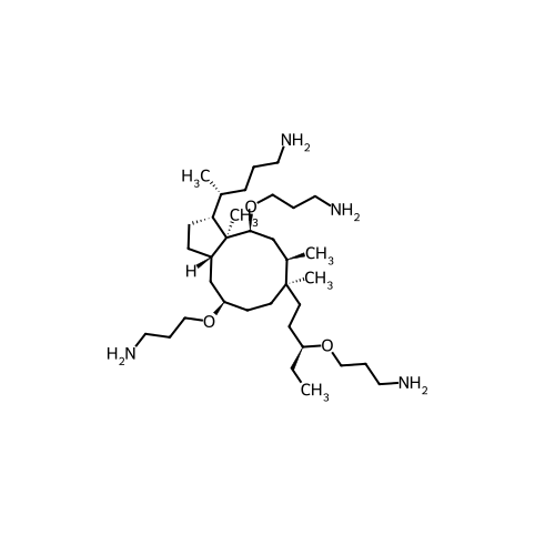 CC[C@@H](CC[C@@]1(C)CC[C@@H](OCCCN)C[C@@H]2CC[C@H]([C@H](C)CCCN)[C@@]2(C)[C@@H](OCCCN)C[C@H]1C)OCCCN